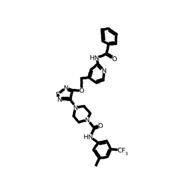 Cc1cc(NC(=O)N2CCN(c3nsnc3OCc3ccnc(NC(=O)c4ccccc4)c3)CC2)cc(C(F)(F)F)c1